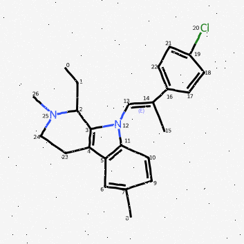 CCC1c2c(c3cc(C)ccc3n2/C=C(\C)c2ccc(Cl)cc2)CCN1C